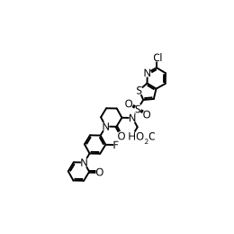 O=C(O)CN(C1CCCN(c2ccc(-n3ccccc3=O)cc2F)C1=O)S(=O)(=O)c1cc2ccc(Cl)nc2s1